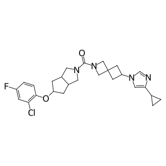 O=C(N1CC2CC(Oc3ccc(F)cc3Cl)CC2C1)N1CC2(CC(n3cnc(C4CC4)c3)C2)C1